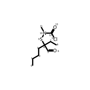 CCCCC(C=O)(CC)SN(C)C(=O)Cl